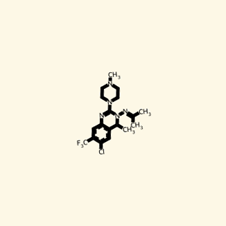 CC(C)=NN1C(N2CCN(C)CC2)=Nc2cc(C(F)(F)F)c(Cl)cc2C1C